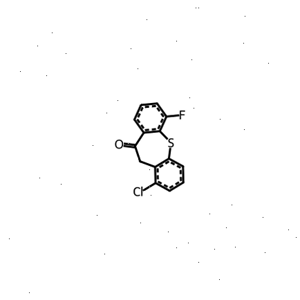 O=C1Cc2c(Cl)cccc2Sc2c(F)cccc21